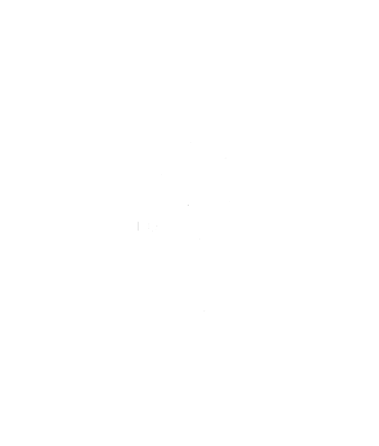 CC1(C2(O)CCCC2)CCCC1